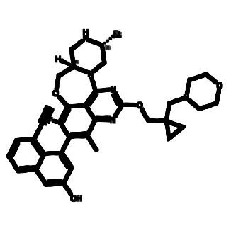 C#Cc1cccc2cc(O)cc(-c3c(F)c4c5c(nc(OCC6(CN7CCOCC7)CC6)nc5c3C)N3C[C@@H](CC)NC[C@H]3CO4)c12